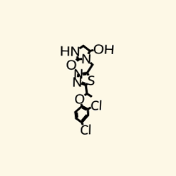 CC(Oc1ccc(Cl)cc1Cl)c1nnc(CN2C(=O)NCC2O)s1